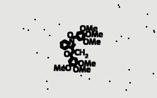 C=C(C(=O)c1cc(OC)c(OC)c(OC)c1)c1cn(C(=O)c2cc(OC)c(OC)c(OC)c2)c2ccccc12